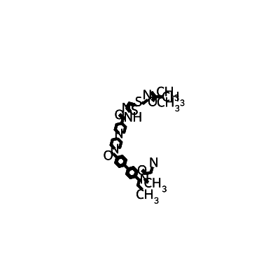 CCCC(c1ccc(-c2ccc(C(=O)N3CCC(N4CCC(C(=O)Nc5ncc(SCc6ncc(C(C)(C)C)o6)s5)CC4)CC3)cc2)cc1)N(C)C(=O)CC#N